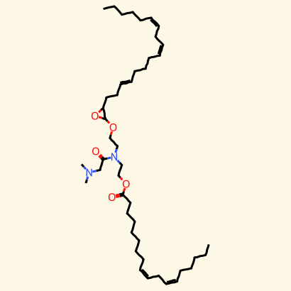 CCCCC/C=C\C/C=C\CCC/C=C/CCC1OC1OCCN(CCOC(=O)CCCCCCC/C=C\C/C=C\CCCCC)C(=O)CN(C)C